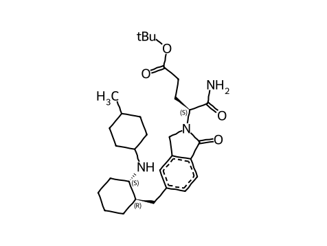 CC1CCC(N[C@H]2CCCC[C@@H]2Cc2ccc3c(c2)CN([C@@H](CCC(=O)OC(C)(C)C)C(N)=O)C3=O)CC1